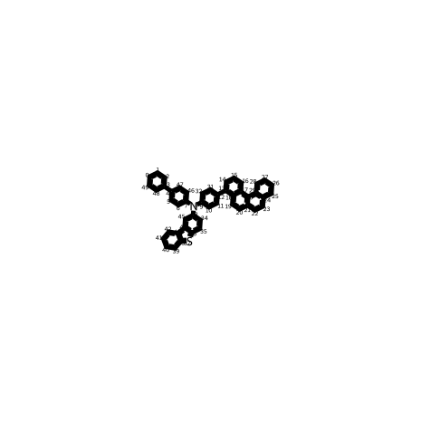 c1ccc(-c2ccc(N(c3ccc(-c4cccc5c4ccc4ccc6ccccc6c45)cc3)c3ccc4sc5ccccc5c4c3)cc2)cc1